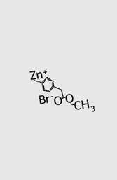 CCOC(=O)Cc1ccc([CH2][Zn+])cc1.[Br-]